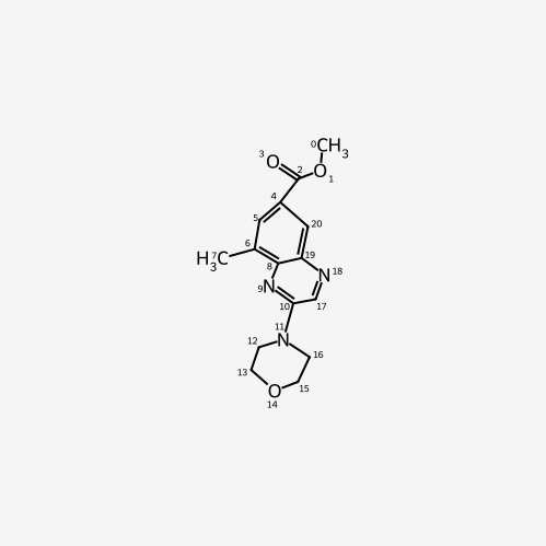 COC(=O)c1cc(C)c2nc(N3CCOCC3)cnc2c1